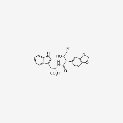 CC(C)CC(O)C(C(=O)N[C@@H](Cc1c[nH]c2ccccc12)C(=O)O)c1ccc2c(c1)OCO2